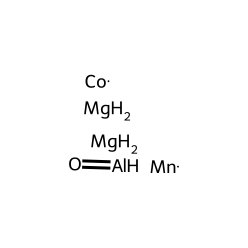 [Co].[MgH2].[MgH2].[Mn].[O]=[AlH]